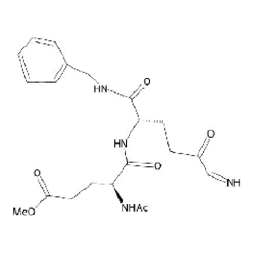 COC(=O)CC[C@H](NC(C)=O)C(=O)N[C@@H](CCC(=O)C=N)C(=O)NCc1ccccc1